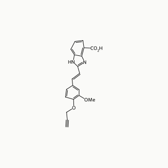 C#CCOc1ccc(/C=C/c2nc3c(C(=O)O)cccc3[nH]2)cc1OC